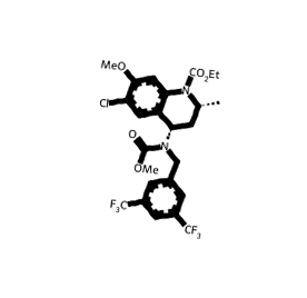 CCOC(=O)N1c2cc(OC)c(Cl)cc2[C@@H](N(Cc2cc(C(F)(F)F)cc(C(F)(F)F)c2)C(=O)OC)C[C@H]1C